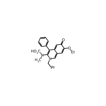 CCOc1cc2cn(CC(C)C)c(N(C)C(=O)O)c(-c3ccccc3)c-2cc1=O